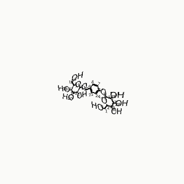 OCC1O[C@H](Oc2ccc(COC3OC(CO)[C@@H](O)[C@H](O)C3O)cc2)[C@H](O)C(O)[C@@H]1O